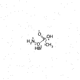 Br.CP(=O)(O)ON